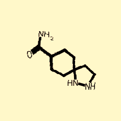 NC(=O)C1CCC2(CCNN2)CC1